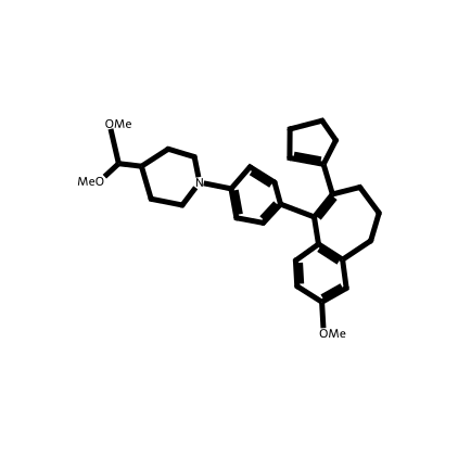 COc1ccc2c(c1)CCCC(C1=CCCC1)=C2c1ccc(N2CCC(C(OC)OC)CC2)cc1